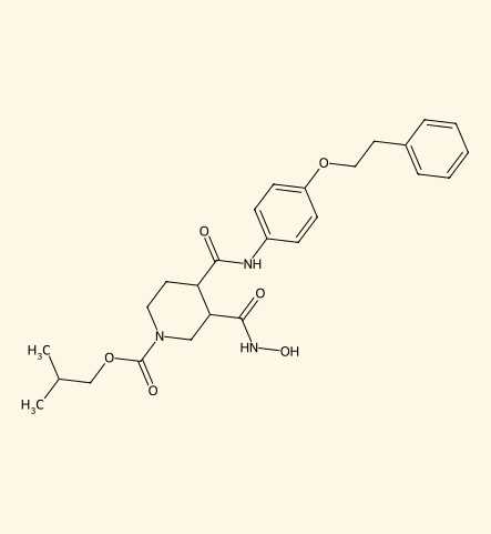 CC(C)COC(=O)N1CCC(C(=O)Nc2ccc(OCCc3ccccc3)cc2)C(C(=O)NO)C1